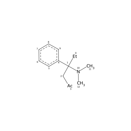 CCC(CC(C)=O)(c1ccccc1)N(C)C